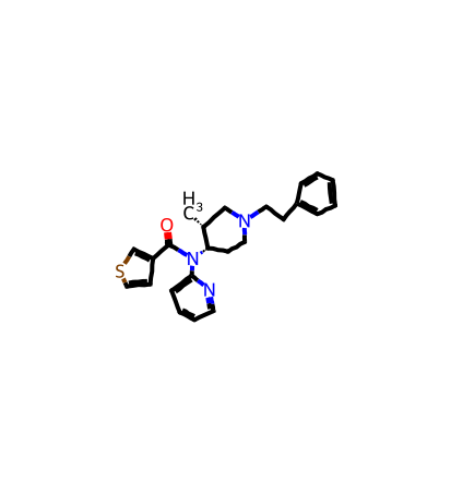 C[C@@H]1CN(CCc2ccccc2)CC[C@@H]1N(C(=O)c1ccsc1)c1ccccn1